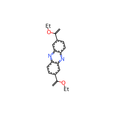 C=C(OCC)c1ccc2nc3cc(C(=C)OCC)ccc3nc2c1